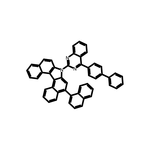 c1ccc(-c2ccc(-c3nc(-n4c5ccc6ccccc6c5c5c6ccccc6c(-c6cccc7ccccc67)cc54)nc4ccccc34)cc2)cc1